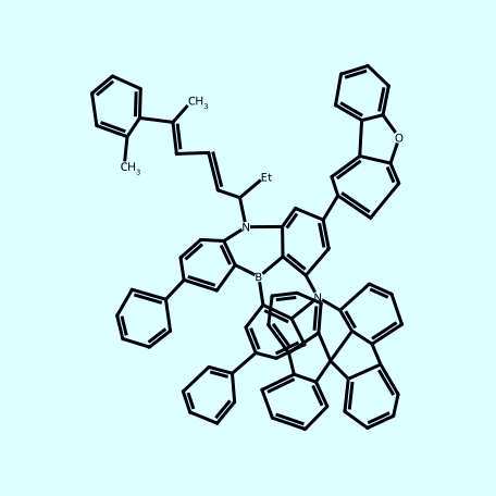 CCC(C=C/C=C(\C)c1ccccc1C)N1c2ccc(-c3ccccc3)cc2B2c3cc(-c4ccccc4)ccc3N(c3cccc4c3C3(c5ccccc5-c5ccccc53)c3ccccc3-4)c3cc(-c4ccc5oc6ccccc6c5c4)cc1c32